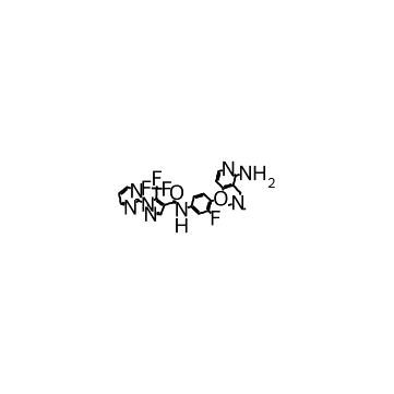 CN(C)Cc1c(Oc2ccc(NC(=O)c3cnn(-c4ncccn4)c3C(F)(F)F)cc2F)ccnc1N